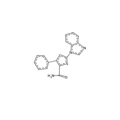 NC(=O)c1sc(-n2cnc3ccccc32)cc1-c1ccccc1